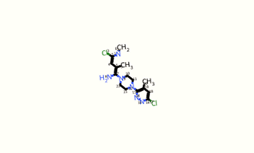 C=N/C(Cl)=C\C(C)=C(/N)N1CCN(c2nnc(Cl)cc2C)CC1